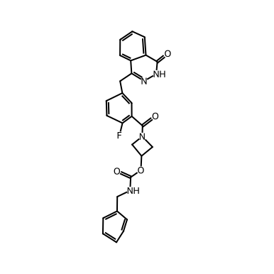 O=C(NCc1ccccc1)OC1CN(C(=O)c2cc(Cc3n[nH]c(=O)c4ccccc34)ccc2F)C1